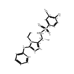 CCn1c(Oc2ccccn2)nnc1[C@@H](C)NS(=O)(=O)c1ccc(Cl)c(Cl)c1